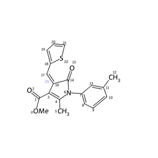 COC(=O)C1=C(C)N(c2cccc(C)c2)C(=O)/C1=C\c1cccs1